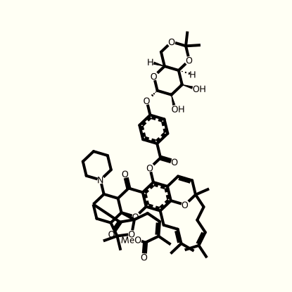 COC(=O)/C(C)=C\CC12OC(C)(C)C3CC(C1=O)C(N1CCCCC1)C1C(=O)c4c(OC(=O)c5ccc(O[C@@H]6O[C@@H]7COC(C)(C)O[C@H]7[C@@H](O)[C@H]6O)cc5)c5c(c(CC=C(C)C)c4OC132)OC(C)(CCC=C(C)C)C=C5